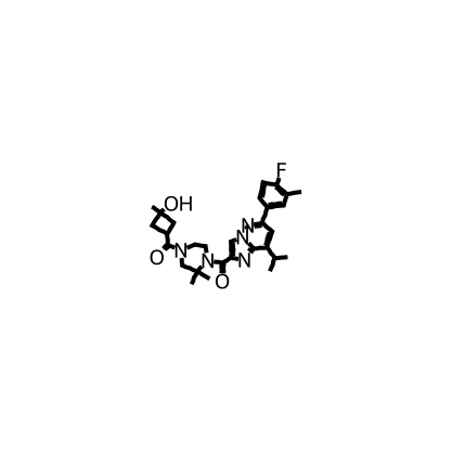 Cc1cc(-c2cc(C(C)C)c3nc(C(=O)N4CCN(C(=O)C5CC(C)(O)C5)CC4(C)C)cn3n2)ccc1F